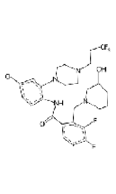 O=C(Nc1ccc(Cl)cc1N1CCN(CCC(F)(F)F)CC1)c1ccc(F)c(F)c1CN1CCCC(O)C1